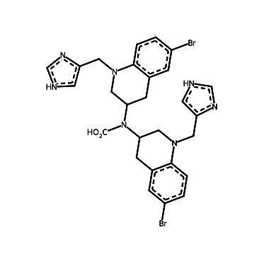 O=C(O)N(C1Cc2cc(Br)ccc2N(Cc2c[nH]cn2)C1)C1Cc2cc(Br)ccc2N(Cc2c[nH]cn2)C1